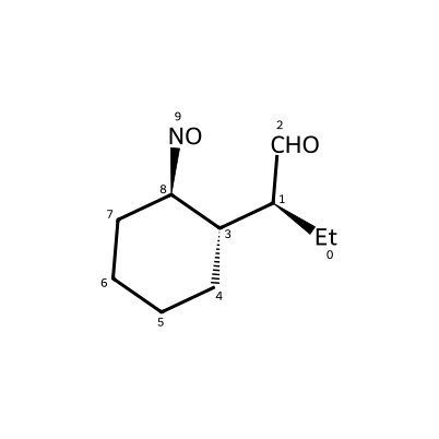 CC[C@H](C=O)[C@@H]1CCCC[C@H]1N=O